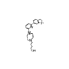 CC1(C)CCc2ccc(-c3cccc(N4CCN(CCCCO)CC4)n3)cc21